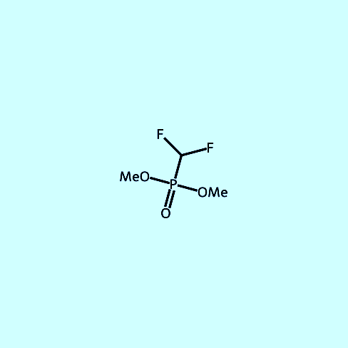 COP(=O)(OC)C(F)F